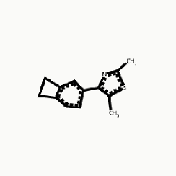 Cc1nc(-c2ccc3c(c2)CC3)c(C)s1